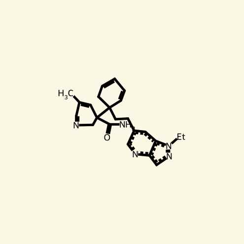 CCn1ncc2ncc(CCC3(C4(C(N)=O)C=C(C)C=NC4)C=CC=CC3)cc21